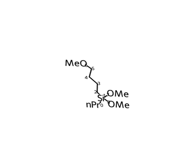 CCC[Si](CCCCOC)(OC)OC